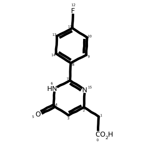 O=C(O)Cc1cc(=O)[nH]c(-c2ccc(F)cc2)n1